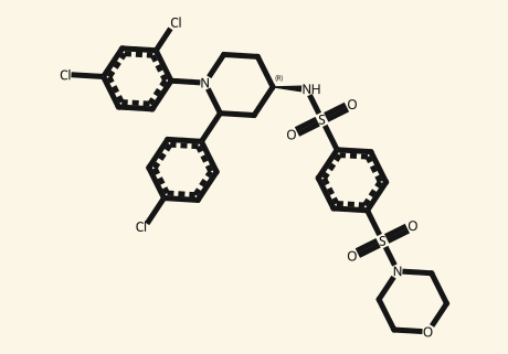 O=S(=O)(N[C@@H]1CCN(c2ccc(Cl)cc2Cl)C(c2ccc(Cl)cc2)C1)c1ccc(S(=O)(=O)N2CCOCC2)cc1